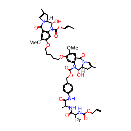 C=CCOC(=O)N[C@H](C(=O)N[C@@H](C)C(=O)Nc1ccc(COC(=O)N2c3cc(OCCCCCOc4cc5c(cc4OC)C(=O)N4C=C(C)C[C@H]4[C@H](O)N5C(=O)O/C=C/C)c(OC)cc3C(=O)N3C=C(C)C[C@H]3[C@@H]2O)cc1)C(C)C